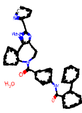 O.O=C(Nc1ccc(C(=O)N2CCc3nc(-c4ccccn4)[nH]c3-c3ccccc32)cc1)c1ccccc1-c1ccccc1